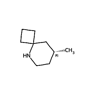 C[C@@H]1CCNC2(CCC2)C1